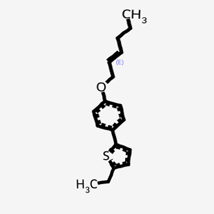 CCC/C=C/COc1ccc(-c2ccc(CC)s2)cc1